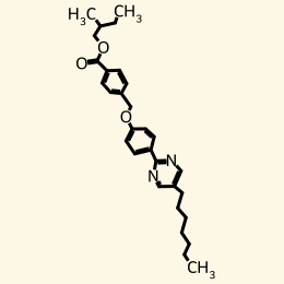 CCCCCCCc1cnc(-c2ccc(OCc3ccc(C(=O)OCC(C)CC)cc3)cc2)nc1